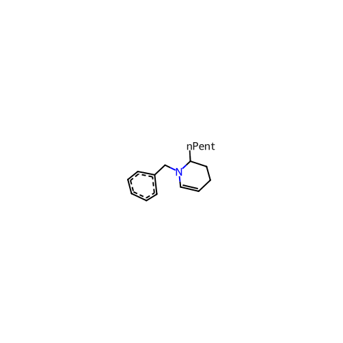 CCCCCC1CCC=CN1Cc1ccccc1